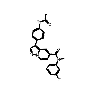 CC(=O)Nc1ccc(-c2cnn3ccc(C(=O)N(C)c4cccc(F)c4)cc23)cc1